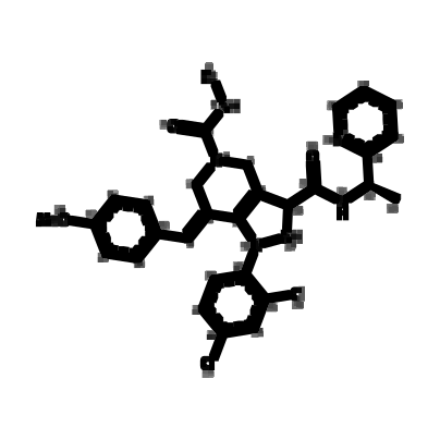 CCNC(=O)N1CC2=C(/C(=C/c3ccc(OC)cc3)C1)N(c1ccc(Cl)cc1Cl)NC2C(=O)N[C@H](C)c1ccccn1